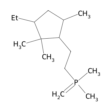 C=P(C)(C)CCC1C(C)CC(CC)C1(C)C